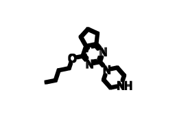 CCCCOc1nc(N2CCNCC2)nc2c1CCC2